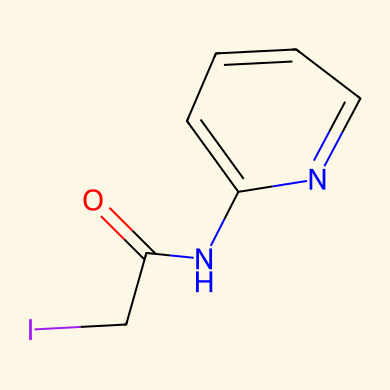 O=C(CI)Nc1ccccn1